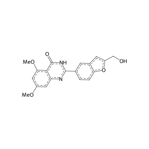 COc1cc(OC)c2c(=O)[nH]c(-c3ccc4oc(CO)cc4c3)nc2c1